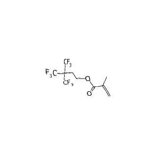 C=C(C)C(=O)OCCC(C(F)(F)F)(C(F)(F)F)C(F)(F)F